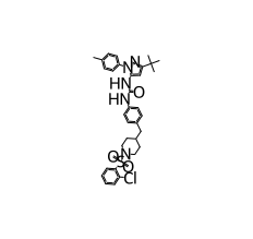 Cc1ccc(-n2nc(C(C)(C)C)cc2NC(=O)Nc2ccc(CC3CCN(S(=O)(=O)c4ccccc4Cl)CC3)cc2)cc1